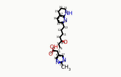 Cc1ncc([C@@H](CCC(=O)CCCCc2ccc3c(n2)NCCC3)C(=O)O)cn1